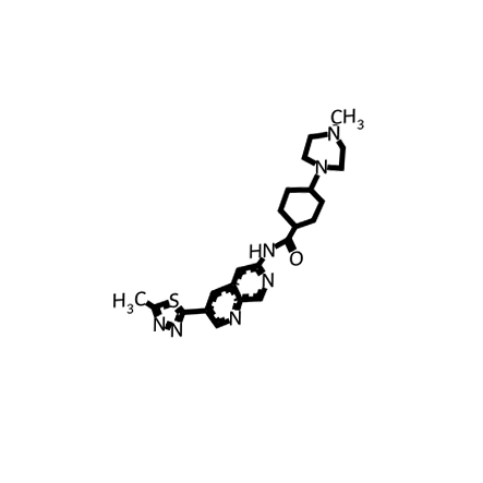 Cc1nnc(-c2cnc3cnc(NC(=O)C4CCC(N5CCN(C)CC5)CC4)cc3c2)s1